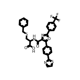 O=C(NC(CSCc1ccccc1)C(=O)O)c1nc(-c2ccc(C(F)(F)F)cc2)oc1-c1ccc(-c2nccs2)cc1